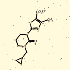 CCOC(=O)c1sc(N2CCCN(CC3CC3)C2=O)nc1C